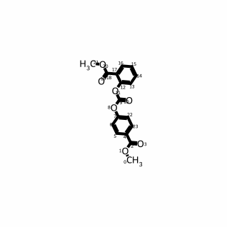 COC(=O)c1ccc(OC(=O)Oc2ccccc2C(=O)OC)cc1